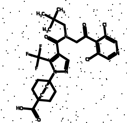 CC(C)(C)CN(CC(=O)c1c(Cl)cncc1Cl)C(=O)c1cnn(C23CCC(C(=O)O)(CC2)CC3)c1C(F)(F)F